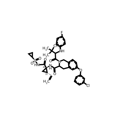 C=C[C@@H]1C[C@]1(NC(=O)C1Cc2cc(Oc3cccc(Cl)c3)ccc2CN1C(=O)C(Nc1ccc(F)cc1)C(C)(C)C)C(=O)NS(=O)(=O)C1CC1